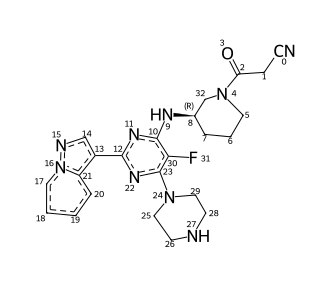 N#CCC(=O)N1CCC[C@@H](Nc2nc(-c3cnn4ccccc34)nc(N3CCNCC3)c2F)C1